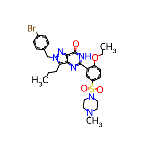 CCCc1c2nc(-c3cc(S(=O)(=O)N4CCN(C)CC4)ccc3OCC)[nH]c(=O)c2nn1Cc1ccc(Br)cc1